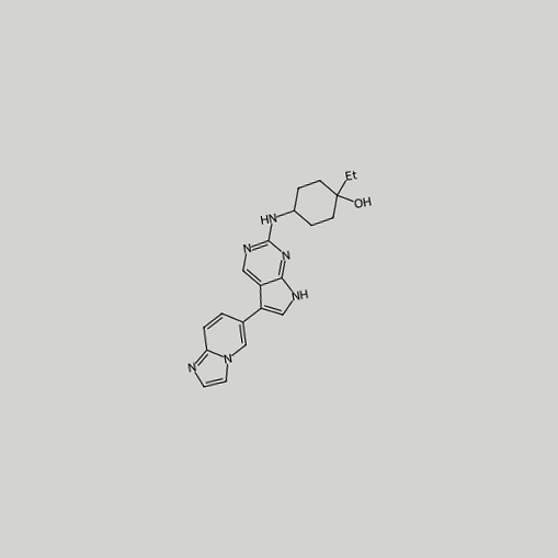 CCC1(O)CCC(Nc2ncc3c(-c4ccc5nccn5c4)c[nH]c3n2)CC1